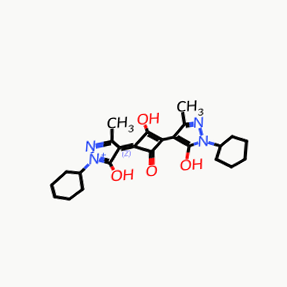 CC1=N[N+](C2CCCCC2)=C(O)/C1=C1\C(=O)C(c2c(C)nn(C3CCCCC3)c2O)=C1O